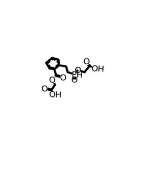 O=C(O)COC(=O)c1ccccc1CC[PH](=O)OCC(=O)O